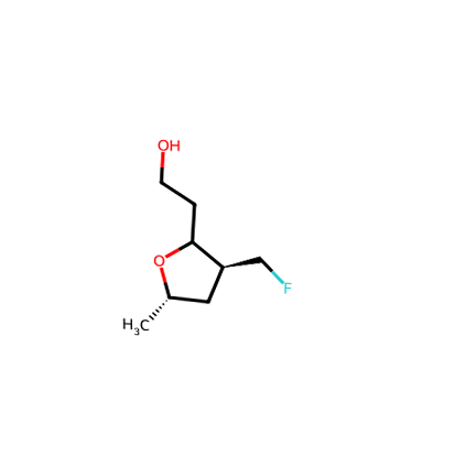 C[C@H]1C[C@H](CF)C(CCO)O1